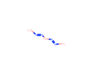 BN=NBN=NB